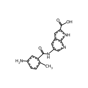 Cc1ccc(N)cc1C(=O)Nc1cnc2[nH]c(C(=O)O)cc2c1